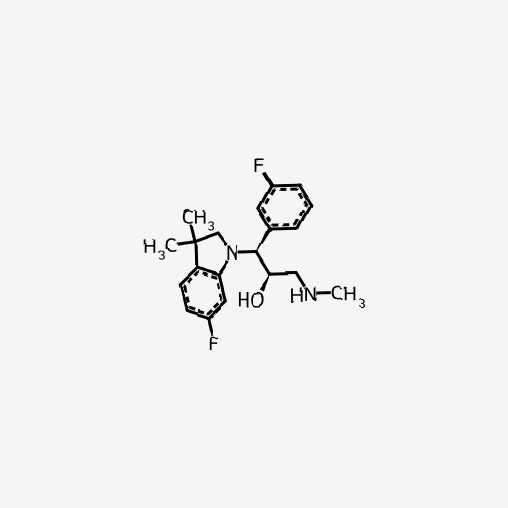 CNC[C@@H](O)[C@H](c1cccc(F)c1)N1CC(C)(C)c2ccc(F)cc21